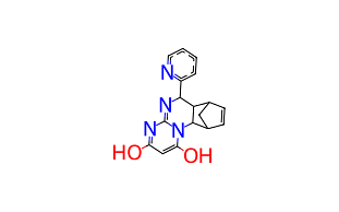 OC1=CC(O)=NC2=NC(c3ccccn3)C3C4C=CC(C4)C3N12